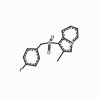 Cc1cn2ccccc2c1S(=O)(=O)Cc1ccc(F)cc1